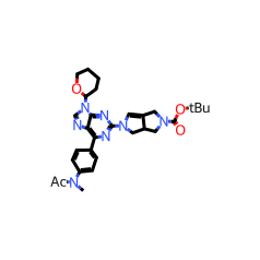 CC(=O)N(C)c1ccc(-c2nc(N3C=C4CN(C(=O)OC(C)(C)C)CC4C3)nc3c2ncn3C2CCCCO2)cc1